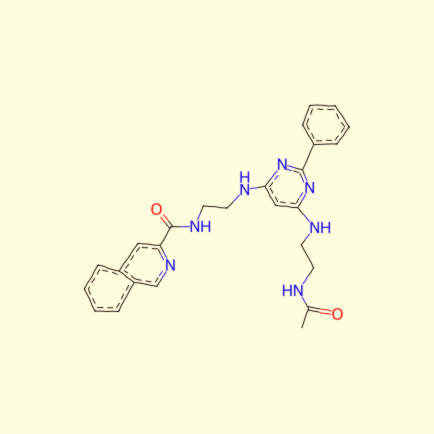 CC(=O)NCCNc1cc(NCCNC(=O)c2cc3ccccc3cn2)nc(-c2ccccc2)n1